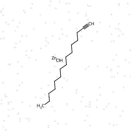 C#CCCCCCCCCCCCCC.Cl.[Zn]